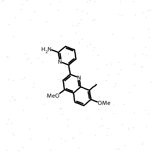 COc1ccc2c(OC)cc(-c3cccc(N)n3)nc2c1C